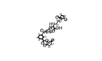 O=C(CNC(=O)c1cccc(C(=O)ON2C(=O)CCC2=O)c1)NC(CCCCN1C(=O)C=CC1=O)C(=O)O